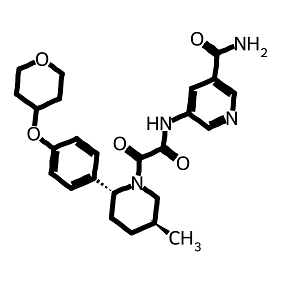 C[C@H]1CC[C@H](c2ccc(OC3CCOCC3)cc2)N(C(=O)C(=O)Nc2cncc(C(N)=O)c2)C1